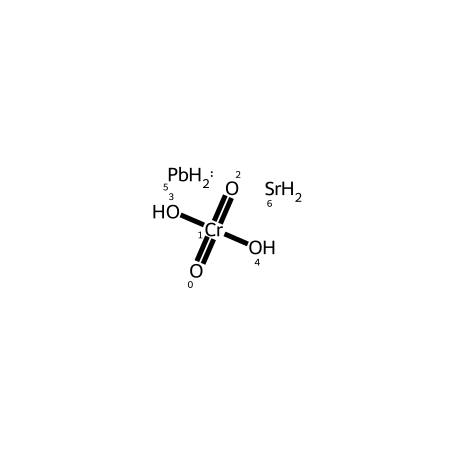 [O]=[Cr](=[O])([OH])[OH].[PbH2].[SrH2]